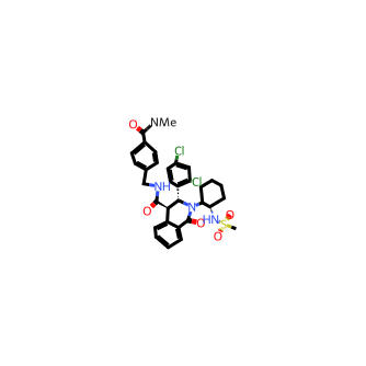 CNC(=O)c1ccc(CNC(=O)[C@@H]2c3ccccc3C(=O)N(C3CCCC[C@@H]3NS(C)(=O)=O)[C@H]2c2ccc(Cl)cc2Cl)cc1